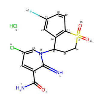 Cl.N=c1c(C(N)=O)cc(Cl)cn1C1CCS(=O)(=O)c2ccc(F)cc21